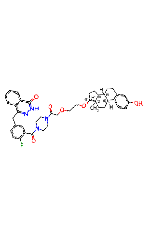 C[C@]12CC[C@@H]3c4ccc(O)cc4CC[C@H]3[C@@H]1CC[C@@H]2OCCOCC(=O)N1CCN(C(=O)c2cc(Cc3n[nH]c(=O)c4ccccc34)ccc2F)CC1